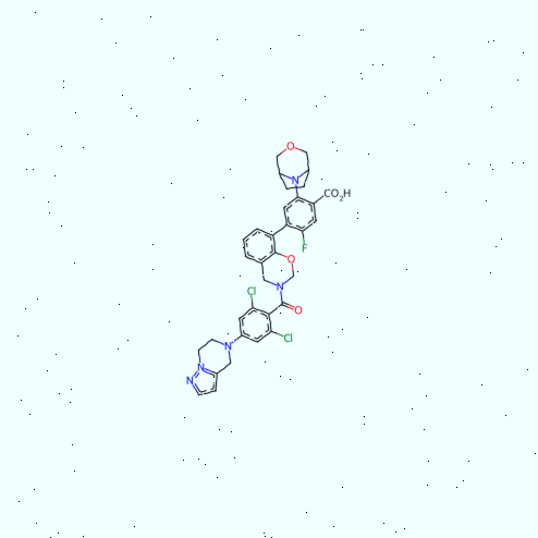 O=C(O)c1cc(F)c(-c2cccc3c2OCN(C(=O)c2c(Cl)cc(N4CCn5nccc5C4)cc2Cl)C3)cc1N1C2CCC1COC2